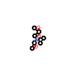 C1=CC(N(c2cc3ccccc3c3ccccc23)c2cccc3c2oc2ccc4oc5ccccc5c4c23)Cc2oc3ccccc3c21